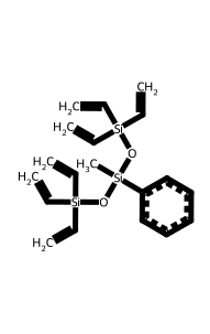 C=C[Si](C=C)(C=C)O[Si](C)(O[Si](C=C)(C=C)C=C)c1ccccc1